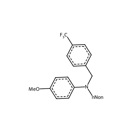 CCCCCCCCCN(Cc1ccc(C(F)(F)F)cc1)c1ccc(OC)cc1